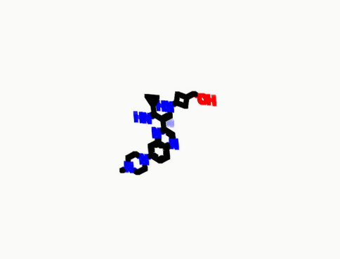 CN1CCN(c2ccc3ncc(/C(=C/NC4CC(CO)C4)C(=N)C4CC4)nc3c2)CC1